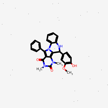 COc1cc(C2Nc3ccccc3-n3c(-c4ccccc4)c4c(=O)n(C)c(=O)n(C)c4c32)ccc1O